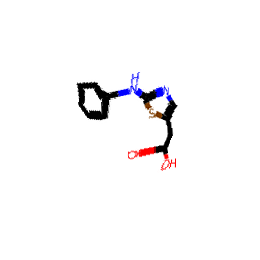 O=C(O)Cc1cnc(Nc2ccccc2)s1